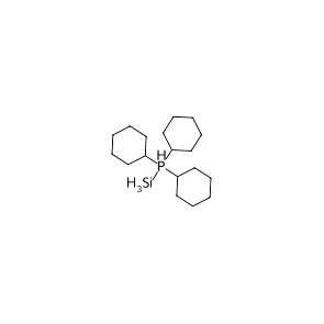 [SiH3][PH](C1CCCCC1)(C1CCCCC1)C1CCCCC1